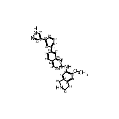 COc1cc2c(cc1Nc1ncc3ccc(-c4cccc(-c5cn[nH]c5)c4)cc3n1)CNCC2